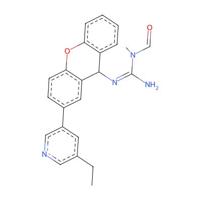 CCc1cncc(-c2ccc3c(c2)C(/N=C(/N)N(C)C=O)c2ccccc2O3)c1